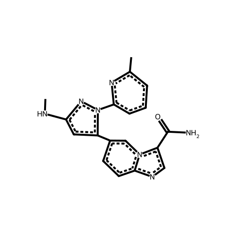 CNc1cc(-c2ccc3ncc(C(N)=O)n3c2)n(-c2cccc(C)n2)n1